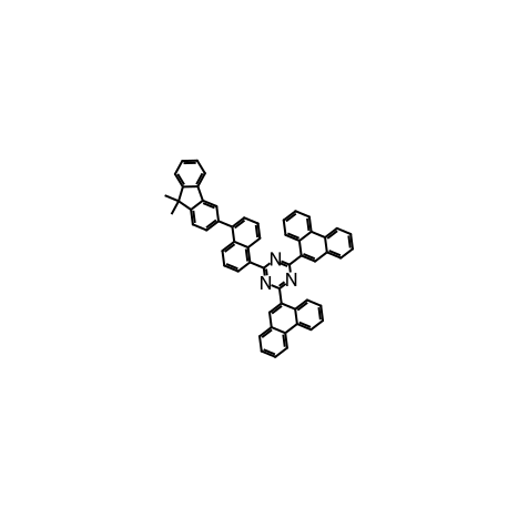 CC1(C)c2ccccc2-c2cc(-c3cccc4c(-c5nc(-c6cc7ccccc7c7ccccc67)nc(-c6cc7ccccc7c7ccccc67)n5)cccc34)ccc21